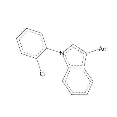 CC(=O)c1cn(-c2ccccc2Cl)c2ccccc12